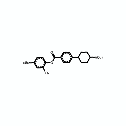 CCCCCCCCC1CCC(c2ccc(C(=O)Oc3ccc(CCCC)cc3C#N)cc2)CC1